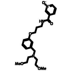 COCCN(CCOC)Cc1cccc(OCCCNC(=O)c2ccc[n+]([O-])c2)c1